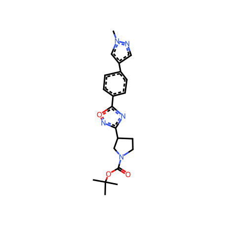 Cn1cc(-c2ccc(-c3nc(C4CCN(C(=O)OC(C)(C)C)C4)no3)cc2)cn1